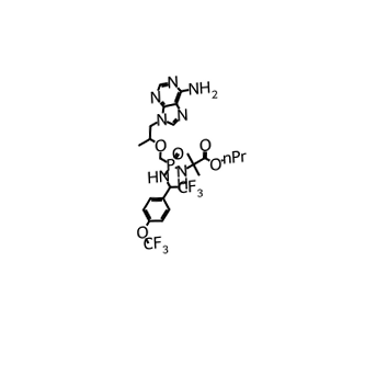 CCCOC(=O)C(C)(C)NP(=O)(COC(C)Cn1cnc2c(N)ncnc21)NC(c1ccc(OC(F)(F)F)cc1)C(F)(F)F